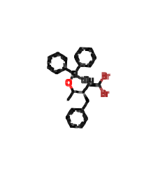 CC(O[Si](c1ccccc1)(c1ccccc1)C(C)(C)C)[C@@H](C=C(Br)Br)Cc1ccccc1